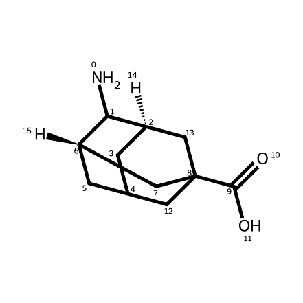 NC1[C@@H]2CC3C[C@H]1CC(C(=O)O)(C3)C2